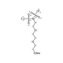 COCCOCCOCCN(S(=O)(=O)C(F)(F)F)S(=O)(=O)C(F)(F)F